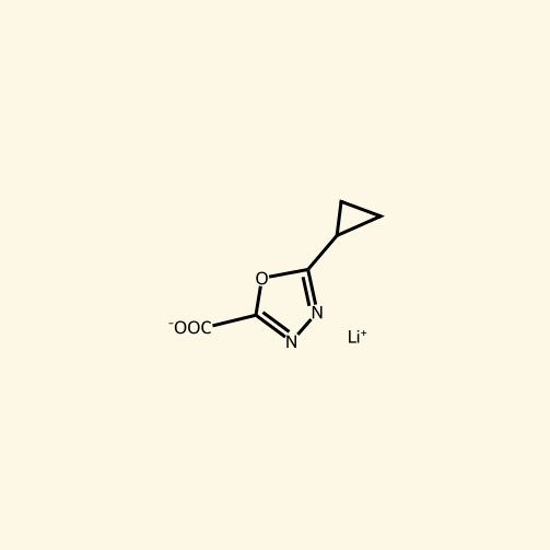 O=C([O-])c1nnc(C2CC2)o1.[Li+]